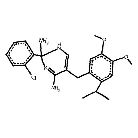 COc1cc(CC2=CNC(N)(c3ccccc3Cl)N=C2N)c(C(C)C)cc1OC